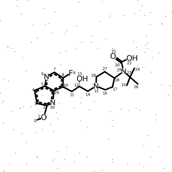 COc1ccc2ncc(F)c(C[C@H](O)CN3CCC(N(C(=O)O)C(C)(C)C)CC3)c2n1